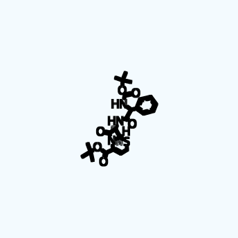 CC(C)(C)OC(=O)NC(C(=O)N[C@@H]1C(=O)N2C(C(=O)OC(C)(C)C)=CCS[C@@H]12)c1ccccc1